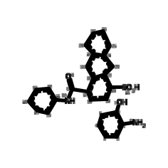 Nc1ccccc1O.O=C(Nc1ccccc1)c1ccc(S(=O)(=O)O)c2cc3ccccc3cc12